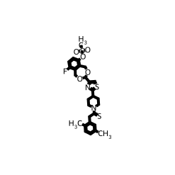 Cc1ccc(C)c(CC(=S)N2CCC(c3nc(C4OCc5c(F)ccc(OS(C)(=O)=O)c5CO4)cs3)CC2)c1